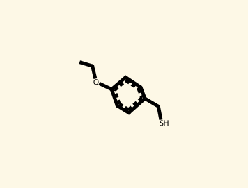 CCOc1ccc(CS)cc1